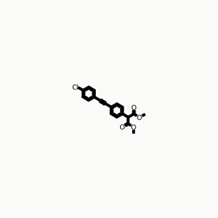 COC(=O)C(C(=O)OC)c1ccc(C#Cc2ccc(Cl)cc2)cc1